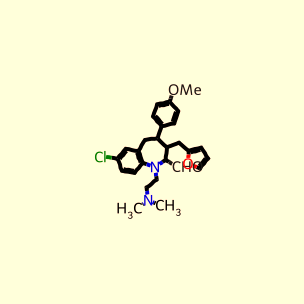 COc1ccc(C2Cc3cc(Cl)ccc3N(CCN(C)C)C(C=O)C2Cc2ccco2)cc1